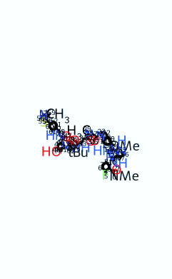 CNC(=O)c1c(F)cccc1Nc1nc(Nc2cc3c(cc2OC)CCN3C(=O)CN(C)C(=O)CCC(=O)N[C@H](C(=O)N2C[C@H](O)C[C@H]2C(=O)NCc2ccc(-c3scnc3C)cc2)C(C)(C)C)nc2[nH]ccc12